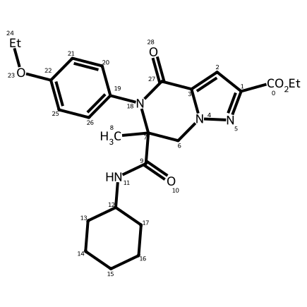 CCOC(=O)c1cc2n(n1)CC(C)(C(=O)NC1CCCCC1)N(c1ccc(OCC)cc1)C2=O